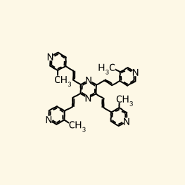 Cc1cnccc1C=Cc1nc(C=Cc2ccncc2C)c(C=Cc2ccncc2C)nc1C=Cc1ccncc1C